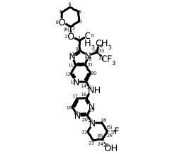 CC(O[C@@H]1CCCCO1)c1nc2cnc(Nc3ccnc(N4CC[C@@H](O)[C@@H](F)C4)n3)cc2n1[C@@H](C)C(F)(F)F